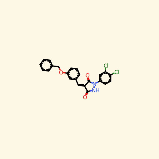 O=C1NN(c2ccc(Cl)c(Cl)c2)C(=O)C1=Cc1cccc(OCc2ccccc2)c1